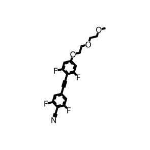 COCCOCCOc1cc(F)c(C#Cc2cc(F)c(C#N)c(F)c2)c(F)c1